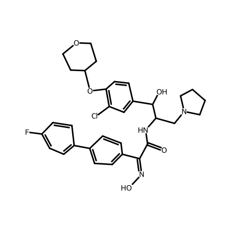 O=C(NC(CN1CCCC1)C(O)c1ccc(OC2CCOCC2)c(Cl)c1)/C(=N/O)c1ccc(-c2ccc(F)cc2)cc1